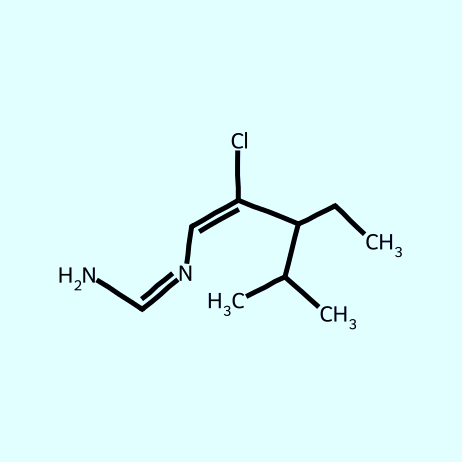 CCC(/C(Cl)=C\N=C/N)C(C)C